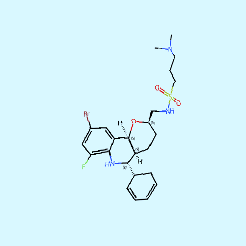 CN(C)CCCS(=O)(=O)NC[C@H]1CC[C@@H]2[C@H](O1)c1cc(Br)cc(F)c1N[C@H]2C1C=CC=CC1